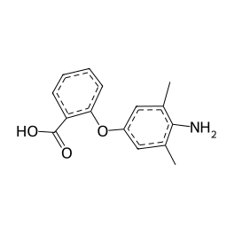 Cc1cc(Oc2ccccc2C(=O)O)cc(C)c1N